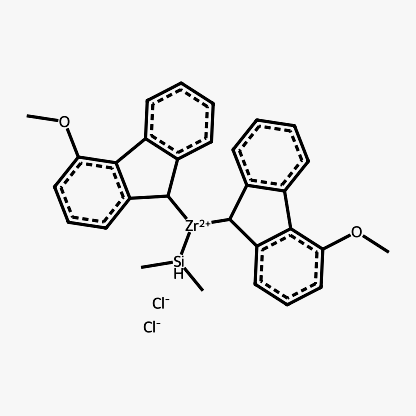 COc1cccc2c1-c1ccccc1[CH]2[Zr+2]([CH]1c2ccccc2-c2c(OC)cccc21)[SiH](C)C.[Cl-].[Cl-]